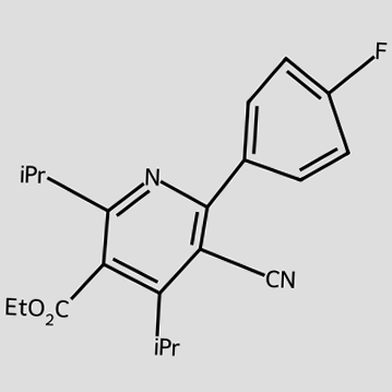 CCOC(=O)c1c(C(C)C)nc(-c2ccc(F)cc2)c(C#N)c1C(C)C